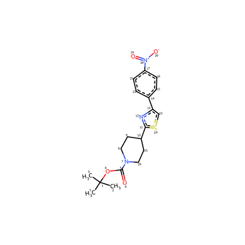 CC(C)(C)OC(=O)N1CCC(c2nc(-c3ccc([N+](=O)[O-])cc3)cs2)CC1